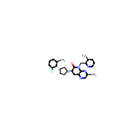 Cc1cnc2cc([C@H]3CC[C@H](c4c(C)cccc4F)C3)c(=O)n(Cc3ncccc3C(F)(F)F)c2n1